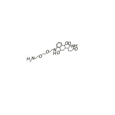 NCCOCCOCCNc1cccc2c1C(=O)CC(C1CCC(=O)NC1=O)C2=O